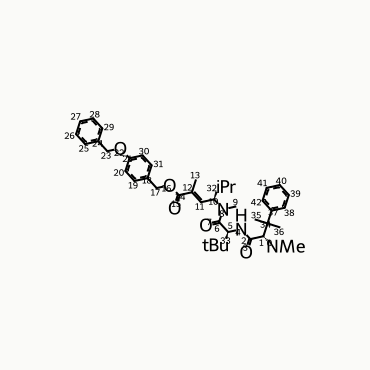 CN[C@H](C(=O)N[C@H](C(=O)N(C)[C@@H](/C=C(\C)C(=O)OCc1ccc(OCc2ccccc2)cc1)C(C)C)C(C)(C)C)C(C)(C)c1ccccc1